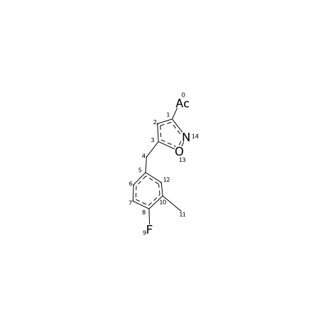 CC(=O)c1cc(Cc2ccc(F)c(C)c2)on1